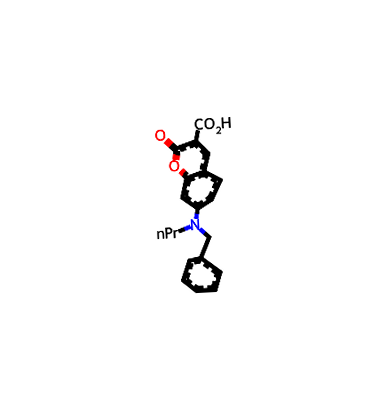 CCCN(Cc1ccccc1)c1ccc2cc(C(=O)O)c(=O)oc2c1